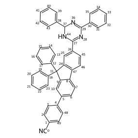 N#Cc1ccc(-c2ccc3c(c2)C(c2ccccc2)(c2ccccc2)c2cc(C4=NC(c5ccccc5)=NC(c5ccccc5)N4)ccc2-3)cc1